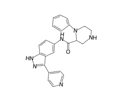 O=C(Nc1ccc2[nH]nc(-c3ccncc3)c2c1)C1CNCCN1c1ccccc1